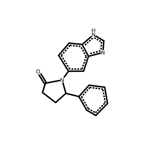 O=C1CCC(c2ccccc2)N1c1ccc2[nH]cnc2c1